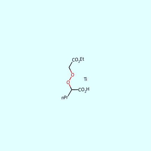 CCCC(OOCC(=O)OCC)C(=O)O.[Ti]